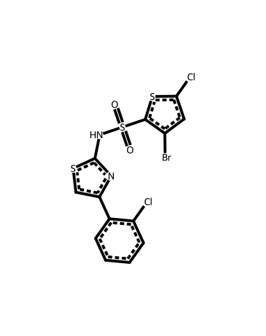 O=S(=O)(Nc1nc(-c2ccccc2Cl)cs1)c1sc(Cl)cc1Br